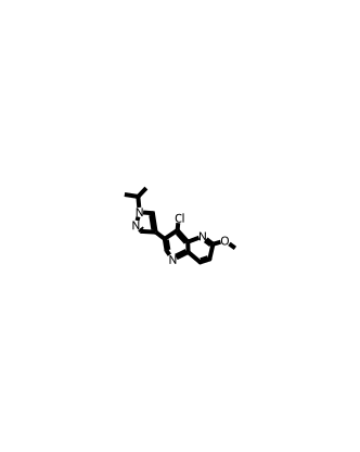 COc1ccc2ncc(-c3cnn(C(C)C)c3)c(Cl)c2n1